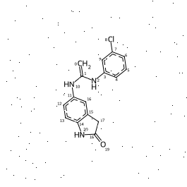 C=C(Nc1cccc(Cl)c1)Nc1ccc2c(c1)CC(=O)N2